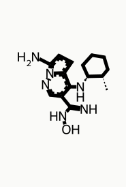 C[C@H]1CCCC[C@H]1Nc1c(C(=N)NO)cnn2c(N)ccc12